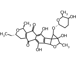 CC[C@H]1CC2=C(C(=O)c3c(O)c4c(c(O)c3C2=O)C2OC(C)C3(O)C(O[C@H]5CC[C@H](O)[C@H](C)O5)C423)[C@H](C)O1